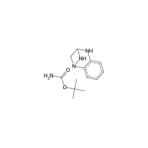 CC(C)(C)OC(N)=O.c1ccc2c(c1)NC1CN2N1